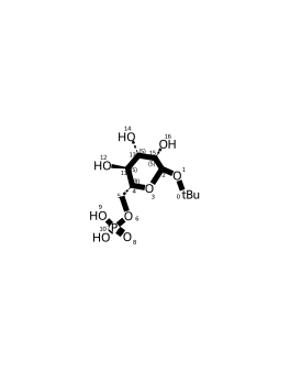 CC(C)(C)OC1O[C@H](COP(=O)(O)O)[C@@H](O)[C@H](O)[C@@H]1O